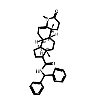 CN1C(=O)CC[C@@]2(C)C1=CC[C@@H]1[C@H]2CC[C@]2(C)C(C(=O)NC(c3ccccc3)c3ccccc3)CC[C@@H]12